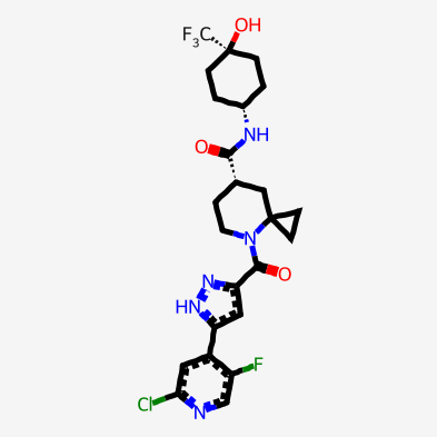 O=C(N[C@H]1CC[C@@](O)(C(F)(F)F)CC1)[C@H]1CCN(C(=O)c2cc(-c3cc(Cl)ncc3F)[nH]n2)C2(CC2)C1